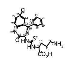 CN1C(=O)C(NC(=S)NC(CCCN)C(=O)O)N=C(c2ccccc2)c2cc(Cl)ccc21